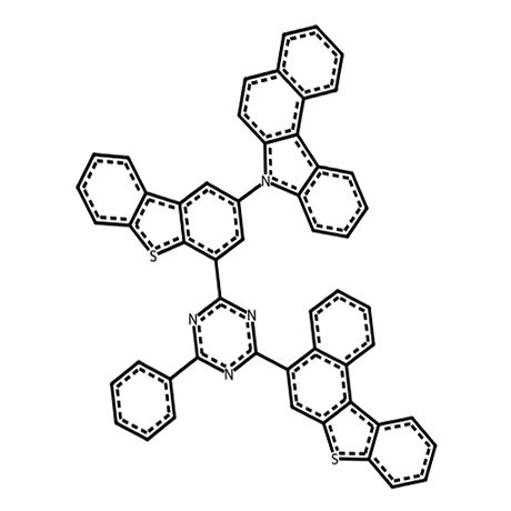 c1ccc(-c2nc(-c3cc4sc5ccccc5c4c4ccccc34)nc(-c3cc(-n4c5ccccc5c5c6ccccc6ccc54)cc4c3sc3ccccc34)n2)cc1